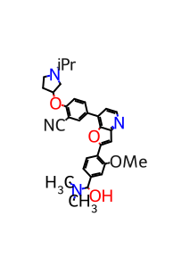 COc1cc(C(O)N(C)C)ccc1-c1cc2nccc(-c3ccc(OC4CCN(C(C)C)C4)c(C#N)c3)c2o1